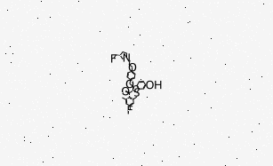 Cc1cc(F)cc(C)c1C(=O)c1sc2cc(O)ccc2c1Oc1ccc(OCCN2CC[C@H](CF)C2)cc1